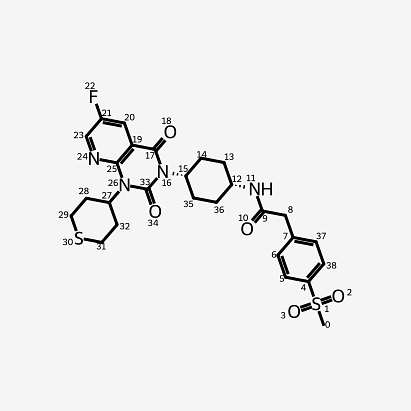 CS(=O)(=O)c1ccc(CC(=O)N[C@H]2CC[C@@H](n3c(=O)c4cc(F)cnc4n(C4CCSCC4)c3=O)CC2)cc1